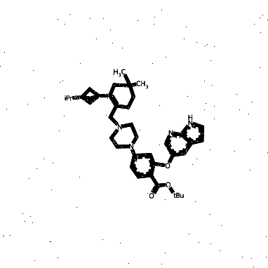 CC(C)C12CC(C3=C(CN4CCN(c5ccc(C(=O)OC(C)(C)C)c(Oc6cnc7[nH]ccc7c6)c5)CC4)CCC(C)(C)C3)(C1)C2